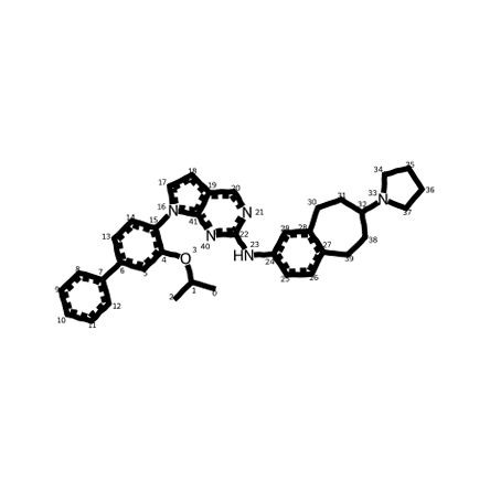 CC(C)Oc1cc(-c2ccccc2)ccc1-n1ccc2cnc(Nc3ccc4c(c3)CCC(N3CCCC3)CC4)nc21